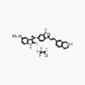 COc1ccc2c(c1)[C@]1(C[C@H]1c1ccc3c(/C=C/c4ccc5c(c4)CNCC5)n[nH]c3c1)C(=O)N2.O=C(O)C(F)(F)F